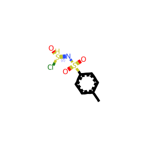 Cc1ccc(S(=O)(=O)/N=[SH](=O)\Cl)cc1